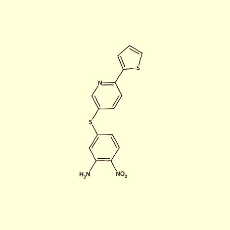 Nc1cc(Sc2ccc(-c3cccs3)nc2)ccc1[N+](=O)[O-]